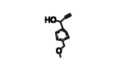 C#CC(O)c1ccc(COC)cc1